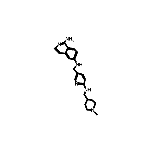 CN1CCC(CNc2ccc(CNc3ccc4c(N)nccc4c3)cn2)CC1